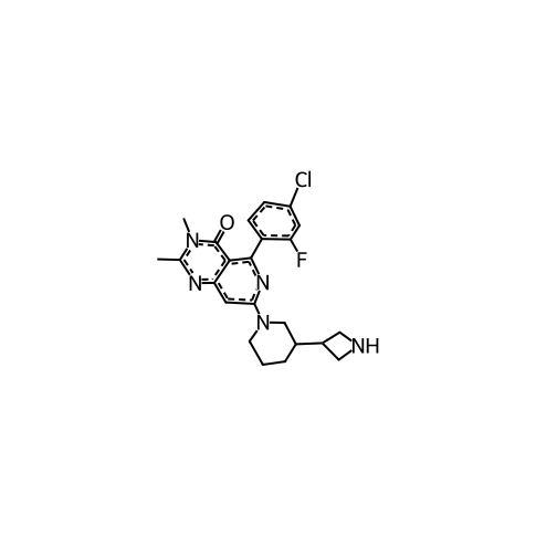 Cc1nc2cc(N3CCCC(C4CNC4)C3)nc(-c3ccc(Cl)cc3F)c2c(=O)n1C